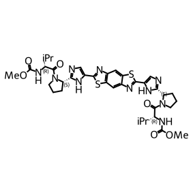 COC(=O)N[C@@H](C(=O)N1CCC[C@H]1c1ncc(-c2nc3cc4sc(-c5cnc([C@@H]6CCCN6C(=O)[C@H](NC(=O)OC)C(C)C)[nH]5)nc4cc3s2)[nH]1)C(C)C